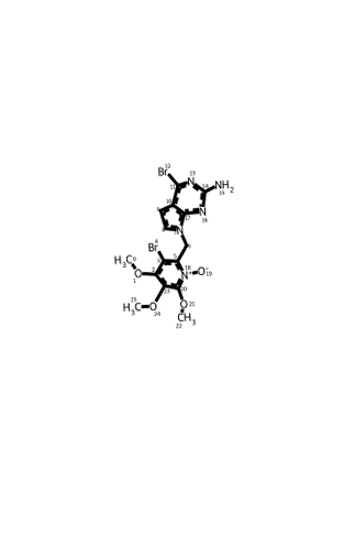 COc1c(Br)c(Cn2ccc3c(Br)nc(N)nc32)[n+]([O-])c(OC)c1OC